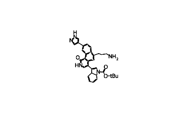 CC(C)(C)OC(=O)N1C=C(c2c[nH]c(=O)c3c2cc(CCCN)c2ccc(-c4cn[nH]c4)cc23)C2C=CC=CC21